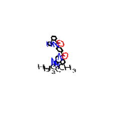 Cc1nc2c(n1C(C)C)-c1ccccc1N(C(=O)c1ccc(NC(=O)c3ccccc3-c3ccccc3)cc1)CC2